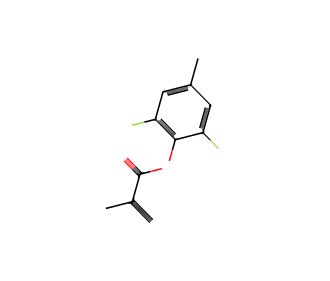 C=C(C)C(=O)Oc1c(F)cc(C)cc1F